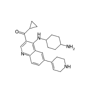 NC1CCC(Nc2c(C(=O)C3CC3)cnc3ccc(C4=CCNCC4)cc23)CC1